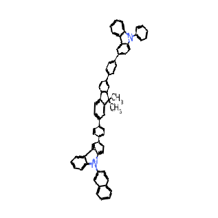 CC1(C)c2cc(-c3ccc(-c4ccc5c(c4)c4ccccc4n5-c4ccccc4)cc3)ccc2-c2ccc(-c3ccc(-c4ccc5c(c4)c4ccccc4n5-c4ccc5ccccc5c4)cc3)cc21